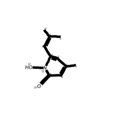 CC(C)=Cc1cc(C)cc(=O)n1O